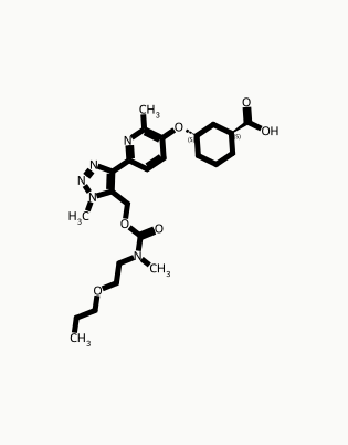 CCCOCCN(C)C(=O)OCc1c(-c2ccc(O[C@H]3CCC[C@H](C(=O)O)C3)c(C)n2)nnn1C